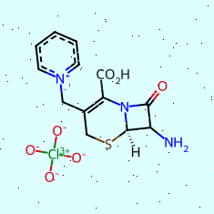 NC1C(=O)N2C(C(=O)O)=C(C[n+]3ccccc3)CS[C@H]12.[O-][Cl+3]([O-])([O-])[O-]